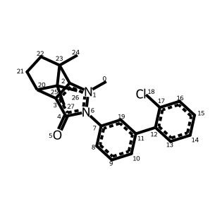 Cn1c2c(c(=O)n1-c1cccc(-c3ccccc3Cl)c1)C1CCC2(C)C1(C)C